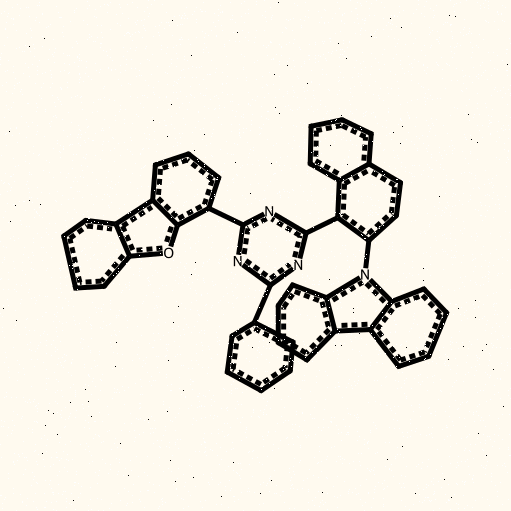 c1ccc(-c2nc(-c3c(-n4c5ccccc5c5ccccc54)ccc4ccccc34)nc(-c3cccc4c3oc3ccccc34)n2)cc1